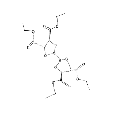 CCOC(=O)[C@H]1OB(B2O[C@H](C(=O)OCC)[C@@H](C(=O)OCC)O2)O[C@@H]1C(=O)OCC